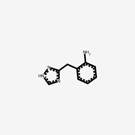 Nc1ccccc1Cc1nc[nH]n1